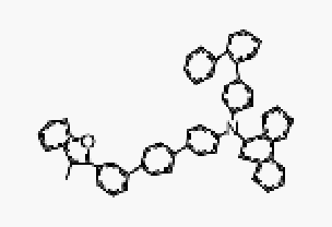 Cc1c(-c2cccc(-c3ccc(-c4ccc(N(c5ccc(-c6ccccc6-c6ccccc6)cc5)c5cc6ccccc6c6ccccc56)cc4)cc3)c2)oc2ccccc12